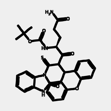 CC(C)(C)OC(=O)N[C@@H](CCC(N)=O)C(=O)C(C(=S)n1c(=O)[nH]c2ccccc21)C1c2ccccc2Oc2ccccc21